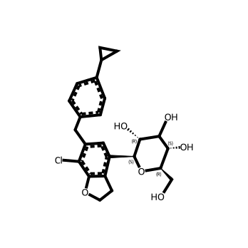 OC[C@H]1O[C@@H](c2cc(Cc3ccc(C4CC4)cc3)c(Cl)c3c2CCO3)[C@H](O)C(O)[C@@H]1O